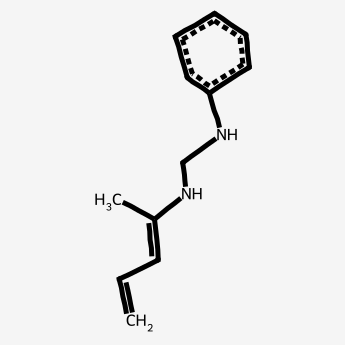 C=C/C=C(\C)NCNc1ccccc1